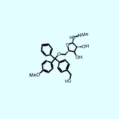 CNB[C@@H]1O[C@H](COC(c2ccccc2)(c2ccc(CO)cc2)c2ccc(OC)cc2)C(O)[C@@H]1O